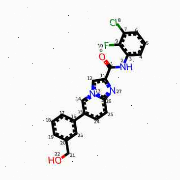 O=C(Nc1cccc(Cl)c1F)c1cn2cc(-c3cccc(CO)c3)ccc2n1